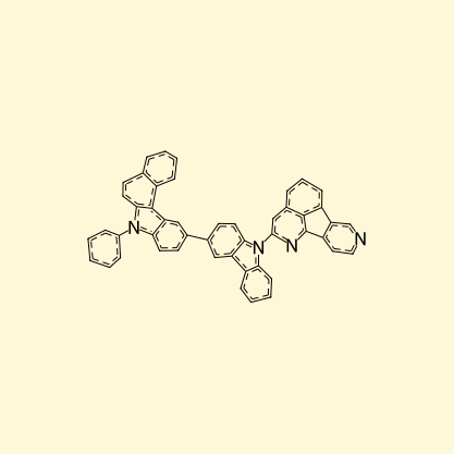 c1ccc(-n2c3ccc(-c4ccc5c(c4)c4ccccc4n5-c4cc5cccc6c5c(n4)-c4ccncc4-6)cc3c3c4ccccc4ccc32)cc1